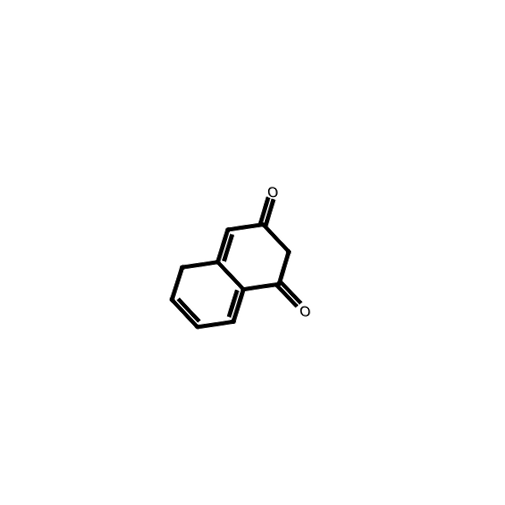 O=C1C=C2CC=CC=C2C(=O)C1